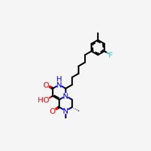 Cc1cc(F)cc(CCCCCCC2NC(=O)C(O)=C3C(=O)N(C)[C@@H](C)CN32)c1